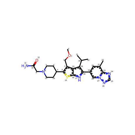 COCc1c(C2CCN(CC(N)=O)CC2)sc2[nH]c(-c3cc(C)c4ncnn4c3)c(C(C)C)c12